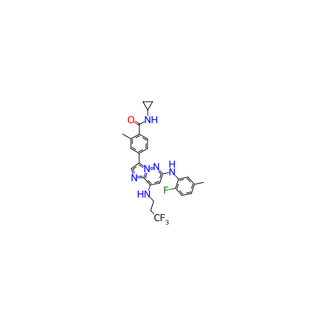 Cc1ccc(F)c(Nc2cc(NCCC(F)(F)F)c3ncc(-c4ccc(C(=O)NC5CC5)c(C)c4)n3n2)c1